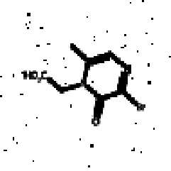 Cc1cnc(Br)c(=O)n1CC(=O)O